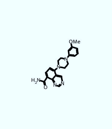 COc1cccc(N2CCN(c3ccc(C(N)=O)c4ncncc34)CC2)c1